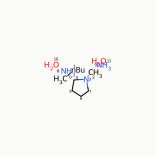 CCCCC.CN1CCCC1.N.N.O.O